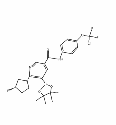 CC1(C)OB(c2cc(C(=O)Nc3ccc(OC(F)(F)Cl)cc3)cnc2N2CC[C@@H](F)C2)OC1(C)C